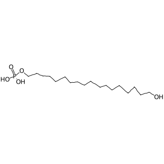 O=P(O)(O)OCCCCCCCCCCCCCCCCCCO